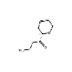 CCOC(=O)[C@@H]1CC=CCO1